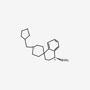 CC(=O)N[C@H]1CCC2(CCN(CC3CCCC3)CC2)c2ccccc21